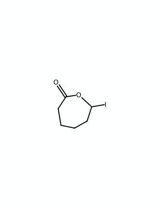 O=C1CCCCC(I)O1